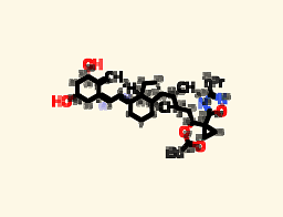 C=C1/C(=C\C=C2/CCC[C@]3(C)[C@@H]([C@H](C)CC[C@H](OC(=O)C(C)CC)C4(c5nc(CCC)no5)CC4)CC[C@@H]23)C[C@@H](O)C[C@@H]1O